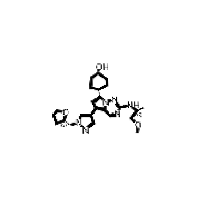 COC[C@H](C)Nc1ncc2c(-c3cnn(C[C@@H]4CCCO4)c3)cc([C@H]3CC[C@H](O)CC3)n2n1